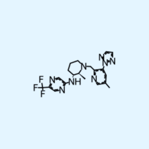 Cc1cnc(CN2CCC[C@@H](Nc3cnc(C(F)(F)F)cn3)[C@@H]2C)c(-n2nccn2)c1